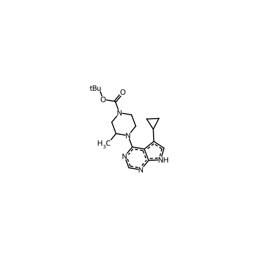 CC1CN(C(=O)OC(C)(C)C)CCN1c1ncnc2[nH]cc(C3CC3)c12